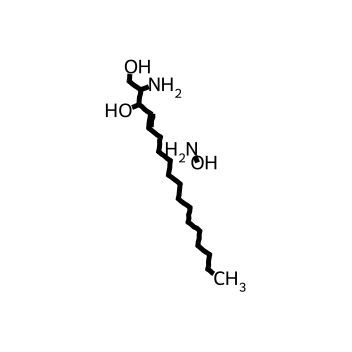 CCCCCCCCCCCCCC=CC(O)C(N)CO.NO